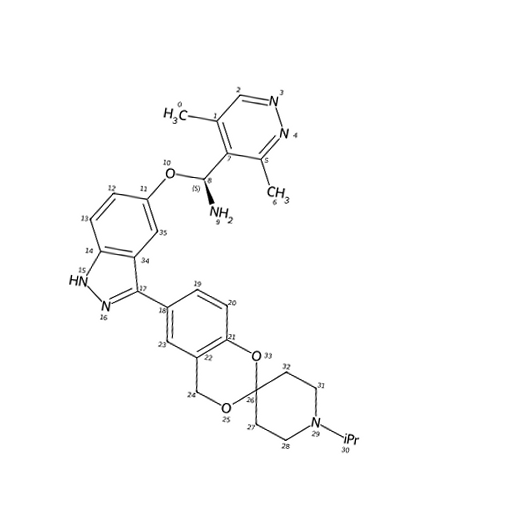 Cc1cnnc(C)c1[C@@H](N)Oc1ccc2[nH]nc(-c3ccc4c(c3)COC3(CCN(C(C)C)CC3)O4)c2c1